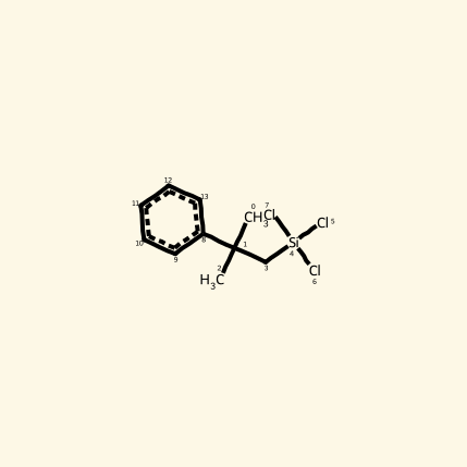 CC(C)(C[Si](Cl)(Cl)Cl)c1ccccc1